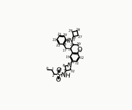 CCCS(=O)(=O)NC1CN(c2ccc3c(c2)[C@@H](Cc2ccccc2)[C@@H](NC2CCC2)CO3)C1